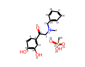 CN(CC(=O)c1ccc(O)c(O)c1)Cc1ccccc1.CS(=O)(=O)O